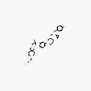 CC(C)(C)OC(=O)N1CCC2(CC1)CN(C(=O)C(C)(C)Oc1cccc(N3CCC[C@@H](C(=O)N(Cc4ccc(Br)cc4)C4CC4)C3)c1)C2